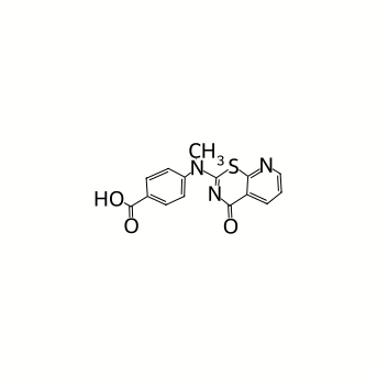 CN(c1ccc(C(=O)O)cc1)c1nc(=O)c2cccnc2s1